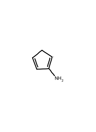 NC1=[C]CC=C1